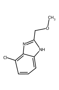 COCc1nc2c(Cl)cccc2[nH]1